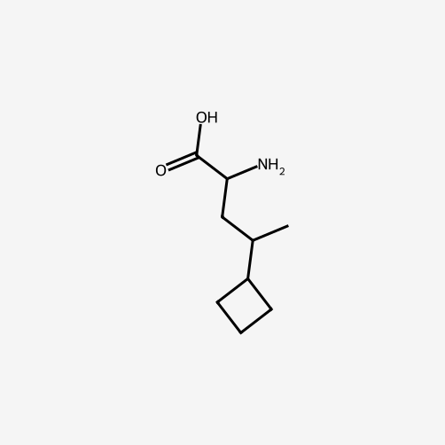 CC(CC(N)C(=O)O)C1CCC1